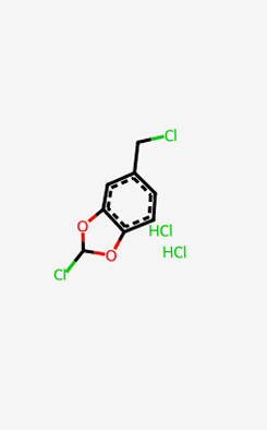 Cl.Cl.ClCc1ccc2c(c1)OC(Cl)O2